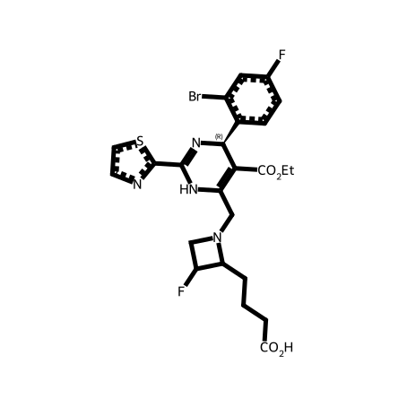 CCOC(=O)C1=C(CN2CC(F)C2CCCC(=O)O)NC(c2nccs2)=N[C@H]1c1ccc(F)cc1Br